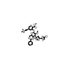 COC(=O)c1ncc(C#C[Si](C)(C)C)cc1S[C@H]1OC2COC(c3ccccc3)O[C@@H]2C(n2cc(-c3nc(Cl)cs3)nn2)C1OC